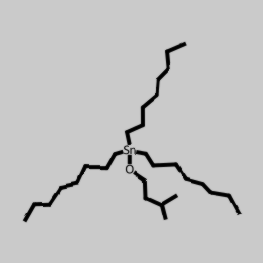 CCCCCCC[CH2][Sn]([CH2]CCCCCCC)([CH2]CCCCCCC)[O]CCC(C)C